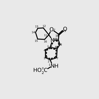 O=C(O)Nc1ccc2c(c1)cc1n2C2(CCCCC2)OC1=O